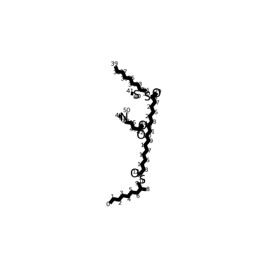 CCCCCCCC(C)CSC(=O)CCCCCCCC(CCCCCCCC(=O)SCC(CCCCCCC)SC)OC(=O)CCCN(C)C